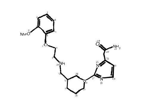 COc1ccccc1OCCNCC1CCCN(c2nccc(C(N)=O)n2)C1